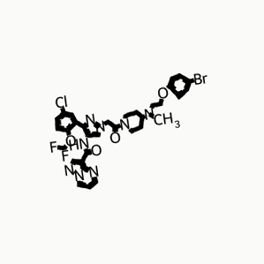 CN(CCOc1ccc(Br)cc1)C1CCN(C(=O)Cn2cc(NC(=O)c3cnn4cccnc34)c(-c3cc(Cl)ccc3OC(F)F)n2)CC1